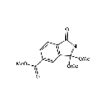 COC(=O)c1ccc2c(c1)C(OC)(OC)NC2=O